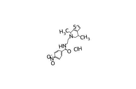 CC1CN(CCNC(=O)c2ccc([N+](=O)[O-])cc2)C(C)c2sccc21.Cl